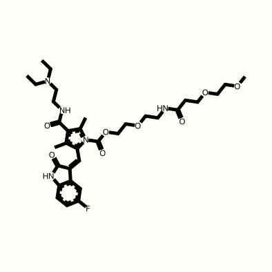 CCN(CC)CCNC(=O)c1c(C)c(/C=C2\C(=O)Nc3ccc(F)cc32)n(C(=O)OCCOCCNC(=O)CCOCCOC)c1C